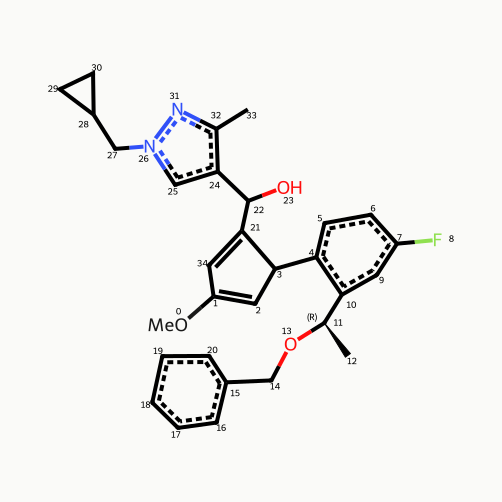 COC1=CC(c2ccc(F)cc2[C@@H](C)OCc2ccccc2)C(C(O)c2cn(CC3CC3)nc2C)=C1